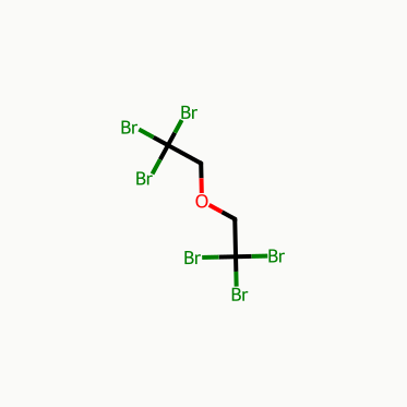 BrC(Br)(Br)COCC(Br)(Br)Br